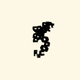 CCOC(=O)CNC(=O)c1c(Cl)c2cc(Oc3ccc(C(F)(F)F)cc3)ccc2n1-c1ccc(OC(C)C)cc1